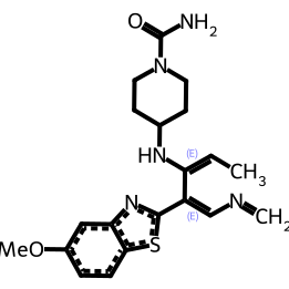 C=N/C=C(\C(=C/C)NC1CCN(C(N)=O)CC1)c1nc2cc(OC)ccc2s1